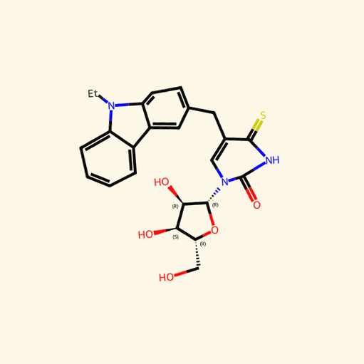 CCn1c2ccccc2c2cc(Cc3cn([C@@H]4O[C@H](CO)[C@@H](O)[C@H]4O)c(=O)[nH]c3=S)ccc21